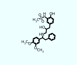 COc1ccc(C(Cc2ccccc2)NCC(O)Cc2ccc(O)c(NS(C)(=O)=O)c2)cc1OC